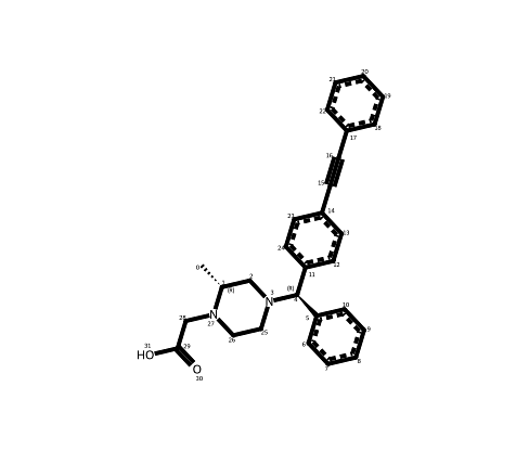 C[C@@H]1CN([C@H](c2ccccc2)c2ccc(C#Cc3ccccc3)cc2)CCN1CC(=O)O